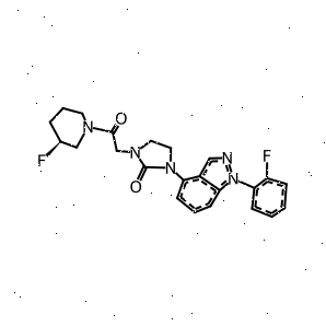 O=C(CN1CCN(c2cccc3c2cnn3-c2ccccc2F)C1=O)N1CCC[C@H](F)C1